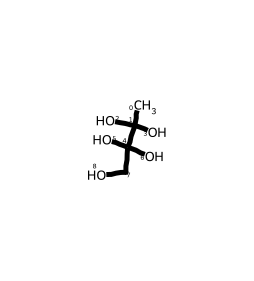 CC(O)(O)C(O)(O)CO